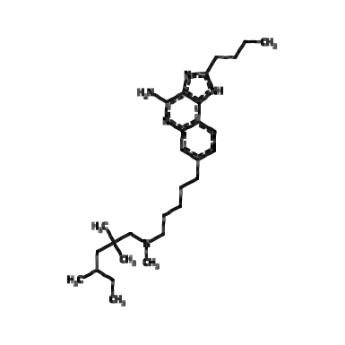 CCCCc1nc2c(N)nc3cc(CCCCCN(C)CC(C)(C)CC(C)CC)ccc3c2[nH]1